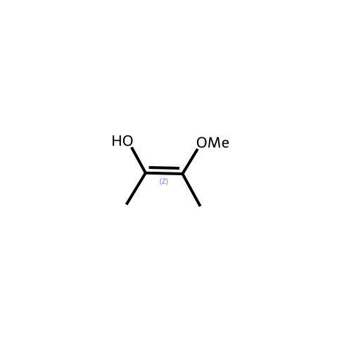 CO/C(C)=C(/C)O